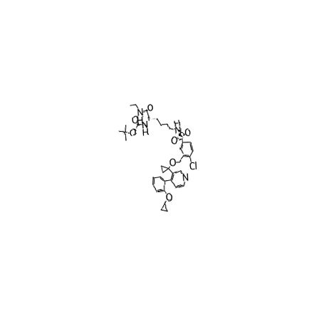 CCNC(=O)[C@H](CCCCNS(=O)(=O)c1ccc(Cl)c(COC2(c3cnccc3-c3ccccc3OC3CC3)CC2)c1)NC(=O)OC(C)(C)C